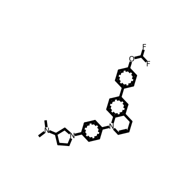 CN(C)C1CCN(c2ccc(N3C=CCc4cc(-c5ccc(OC(F)F)cc5)ccc43)cc2)C1